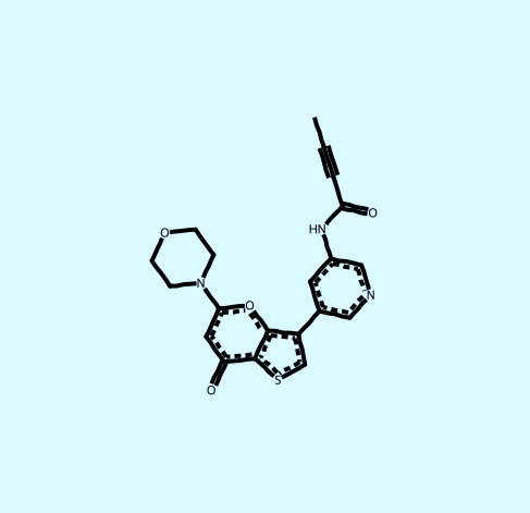 CC#CC(=O)Nc1cncc(-c2csc3c(=O)cc(N4CCOCC4)oc23)c1